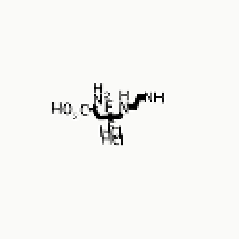 Cl.Cl.N=CCNCC(F)(F)C[C@H](N)C(=O)O